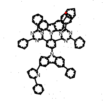 c1ccc(-c2ccc3c(c2)c2cc(-c4cccc(-c5ccccc5)n4)ccc2n3-c2cc(-c3nc(-c4ccccc4)nc(-c4ccccc4)n3)c(-n3c4ccccc4c4cc(-c5ccccc5)ccc43)c(-c3nc(-c4ccccc4)nc(-c4ccccc4)n3)c2)cc1